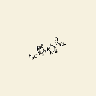 Cn1cc(-n2cc(C(=O)O)nn2)cn1